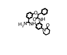 N=C(N)c1cccc(OC(C(=O)Nc2cccc(N3CCCCC3=O)c2)c2ccccc2)c1